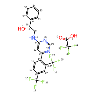 O=C(O)C(F)(F)F.O[C@@H](CNc1cc(-c2ccc(C(F)(F)F)cc2C(F)(F)F)ncn1)c1ccccc1